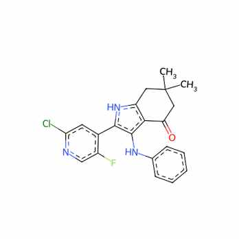 CC1(C)CC(=O)c2c([nH]c(-c3cc(Cl)ncc3F)c2Nc2ccccc2)C1